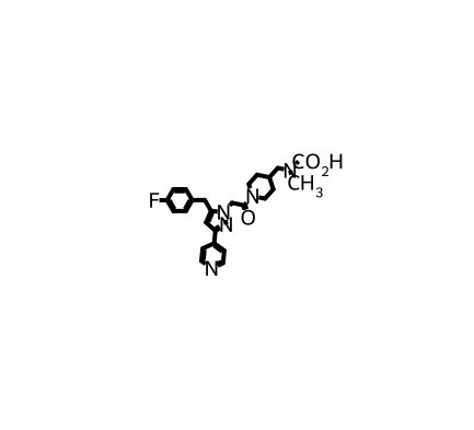 CN(CC1CCN(C(=O)Cn2nc(-c3ccncc3)cc2Cc2ccc(F)cc2)CC1)C(=O)O